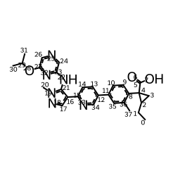 CCC1CC1(C(=O)O)c1ccc(-c2ccc(-c3cnn(C)c3Nc3cncc(OC(C)C)n3)nc2)cc1C